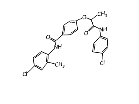 Cc1cc(Cl)ccc1NC(=O)c1ccc(OC(C)C(=O)Nc2ccc(Cl)cc2)cc1